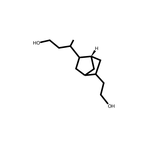 CC(CCO)C1CC2C[C@H]1CC2CCO